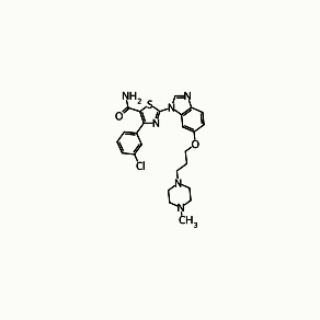 CN1CCN(CCCOc2ccc3ncn(-c4nc(-c5cccc(Cl)c5)c(C(N)=O)s4)c3c2)CC1